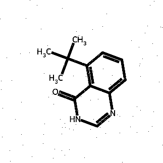 CC(C)(C)c1cccc2nc[nH]c(=O)c12